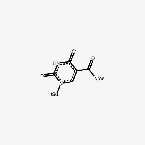 CNC(=O)c1cn(C(C)(C)C)c(=O)[nH]c1=O